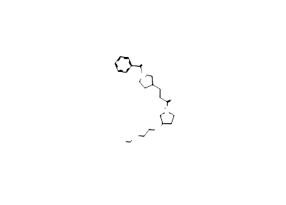 CCOCCOC1CCN(C(=O)CCC2CCN(C(=O)c3ccccc3)C2)C1